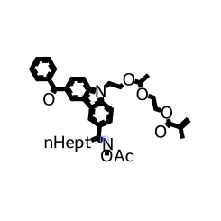 C=C(C)C(=O)OCCOC(C)OCCn1c2ccc(C(=O)c3ccccc3)cc2c2cc(/C(CCCCCCC)=N/OC(C)=O)ccc21